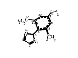 Cc1cc(C)c(C2N=CC=N2)c(C)c1